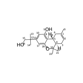 CC1=CC[C@@H]2[C@@H](C1)c1c(O)cc(C(C)(C)CO)cc1OC2(C)C